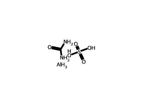 NC(N)=O.O=S(=O)(O)O.[AlH3]